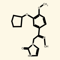 COc1ccc(C(Cn2cc[nH]c2=O)=NO)cc1OC1CCCC1